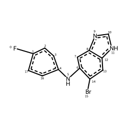 Fc1ccc(Nc2cc3nc[nH]c3cc2Br)cc1